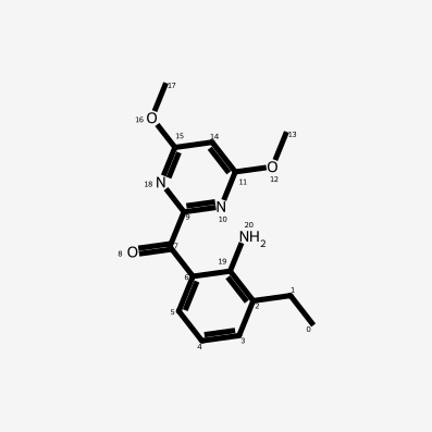 CCc1cccc(C(=O)c2nc(OC)cc(OC)n2)c1N